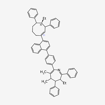 CCC1C(c2ccccc2)=NC(c2ccc(-c3ccc(/C4=C/C(c5ccccc5)[C@H](CC)C(c5ccccc5)CCC4)c4ccccc34)cc2)=C(C)C(C)C1c1ccccc1